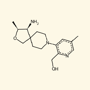 Cc1cnc(CO)c(N2CCC3(CC2)CO[C@@H](C)[C@H]3N)c1